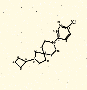 Clc1ccc(N2CCC3(CC2)CCN(C2CCC2)C3)nn1